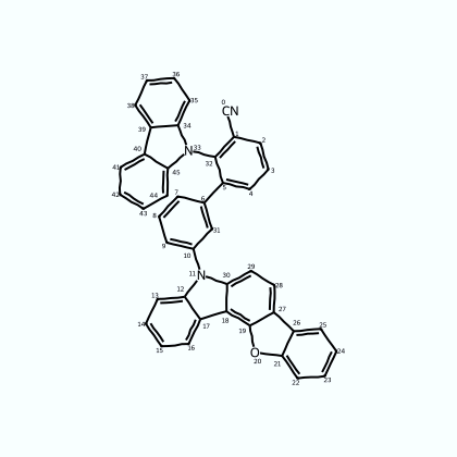 N#Cc1cccc(-c2cccc(-n3c4ccccc4c4c5oc6ccccc6c5ccc43)c2)c1-n1c2ccccc2c2ccccc21